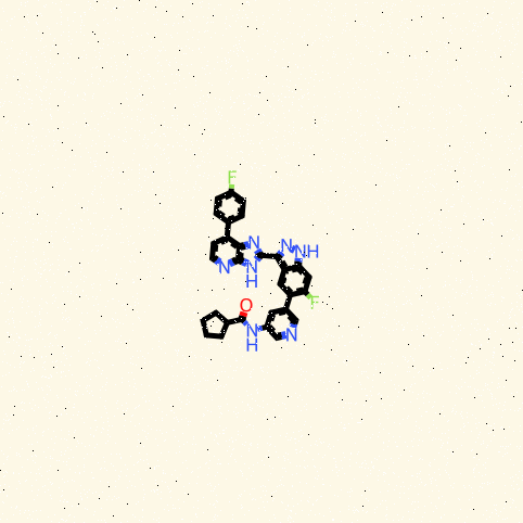 O=C(Nc1cncc(-c2cc3c(-c4nc5c(-c6ccc(F)cc6)ccnc5[nH]4)n[nH]c3cc2F)c1)C1CCCC1